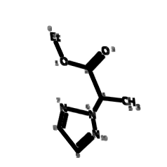 CCOC(=O)C(C)n1nccn1